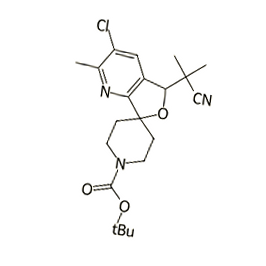 Cc1nc2c(cc1Cl)C(C(C)(C)C#N)OC21CCN(C(=O)OC(C)(C)C)CC1